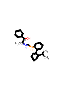 CC(C)c1ccccc1-c1ccccc1PCN[C@@H](C)[C@H](O)c1ccccc1